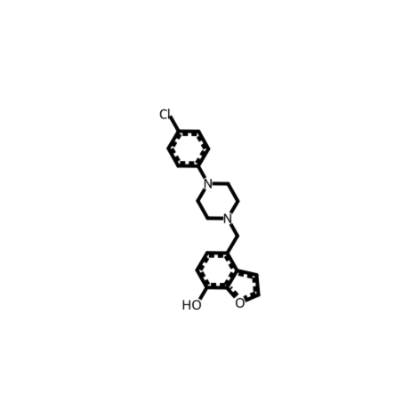 Oc1ccc(CN2CCN(c3ccc(Cl)cc3)CC2)c2ccoc12